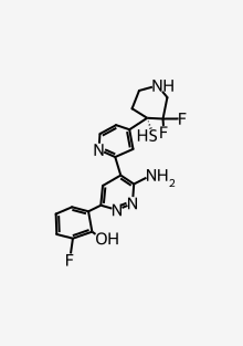 Nc1nnc(-c2cccc(F)c2O)cc1-c1cc([C@@]2(S)CCNCC2(F)F)ccn1